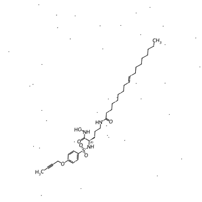 CC#CCOc1ccc(S(=O)(=O)N[C@H](CCCNC(=O)CCCCCCCC=CCCCCCCCC)C(=O)NO)cc1